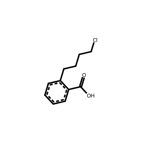 O=C(O)c1ccccc1CCCCCl